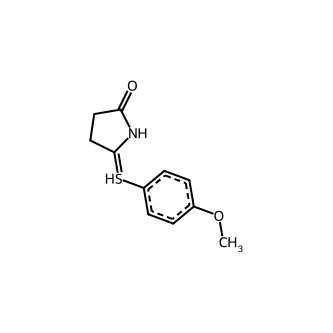 COc1ccc([SH]=C2CCC(=O)N2)cc1